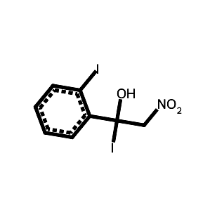 O=[N+]([O-])CC(O)(I)c1ccccc1I